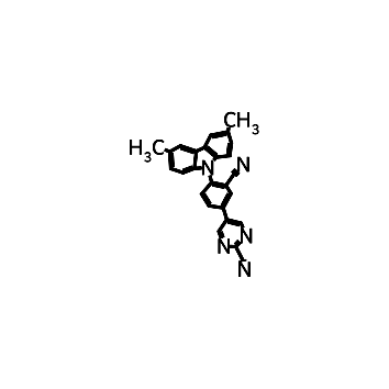 Cc1ccc2c(c1)c1cc(C)ccc1n2-c1ccc(-c2cnc(C#N)nc2)cc1C#N